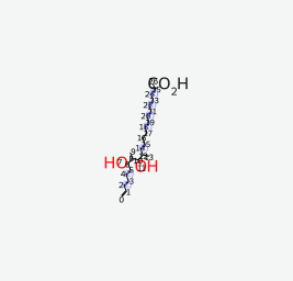 C=C/C=C/C=C/C(O)C(C)C(O)C(C)/C=C/CC/C=C/C=C/C=C/C=C/C(=O)O